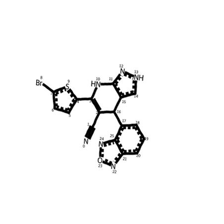 N#CC1=C(c2ccc(Br)s2)Nc2n[nH]cc2C1c1cccc2nonc12